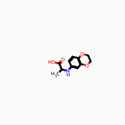 CC(Nc1ccc2c(c1)OCCO2)C(=O)O